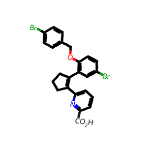 O=C(O)c1cccc(C2=C(c3cc(Br)ccc3OCc3ccc(Br)cc3)CCC2)n1